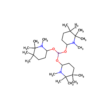 CN1C(OP(OC2CCC(C)(C)C(C)(C)N2C)OC2CCC(C)(C)C(C)(C)N2C)CCC(C)(C)C1(C)C